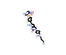 O=c1nc2[nH]c(-c3ccc(S(=O)(=O)NC4CCNCC4)cc3F)cc2cn1-c1ccc(CNCCCCl)cc1